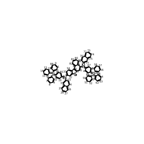 c1ccc([Si](c2ccccc2)(c2ccccc2)c2ccc(N(c3ccc4ccccc4c3)c3ccc4c(c3)sc3cc(N(c5ccc([Si](c6ccccc6)(c6ccccc6)c6ccccc6)cc5)c5ccc6ccccc6c5)c5ccccc5c34)cc2)cc1